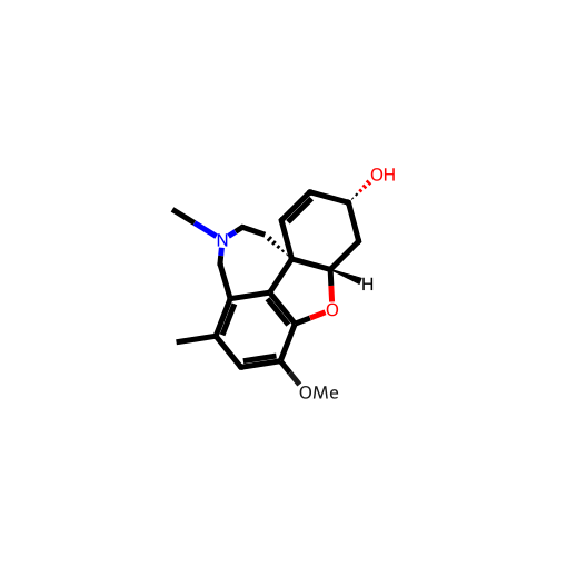 COc1cc(C)c2c3c1O[C@H]1C[C@@H](O)C=C[C@]31CCN(C)C2